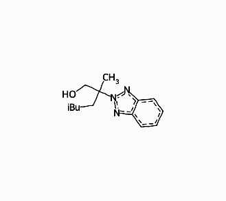 CCC(C)CC(C)(CO)n1nc2ccccc2n1